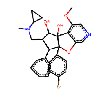 COc1cncc2c1C1(O)C(O)C(CN(C)C3CC3)C(c3ccccc3)C1(c1ccc(Br)cc1)O2